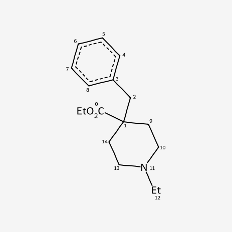 CCOC(=O)C1(Cc2ccccc2)CCN(CC)CC1